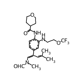 CC(C)=C/C(=C\N(C)C=O)c1ccc(NC(=O)C2CCOCC2)c(NCCOC(F)(F)F)c1